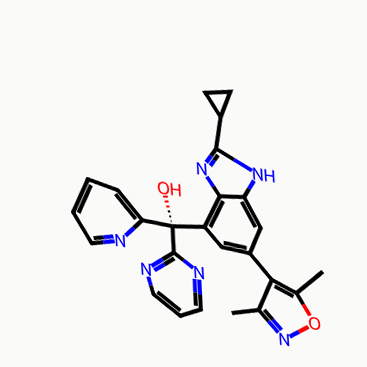 Cc1noc(C)c1-c1cc([C@](O)(c2ccccn2)c2ncccn2)c2nc(C3CC3)[nH]c2c1